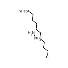 CCCCCCCCCCCCCCCCCl.NN